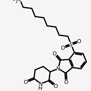 O=C(O)CCCCCCCCS(=O)(=O)c1cccc2c1C(=O)N(C1CCC(=O)NC1=O)C2=O